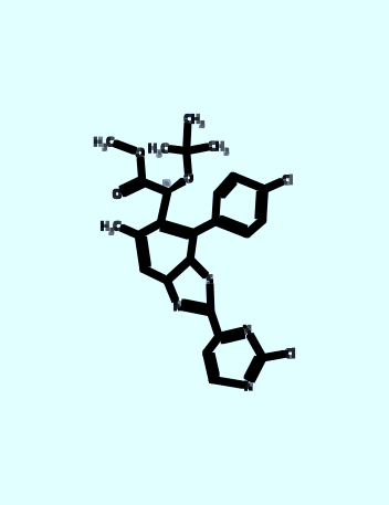 COC(=O)[C@@H](OC(C)(C)C)C1=C(c2ccc(Cl)cc2)C2SC(c3ccnc(Cl)n3)=NC2C=C1C